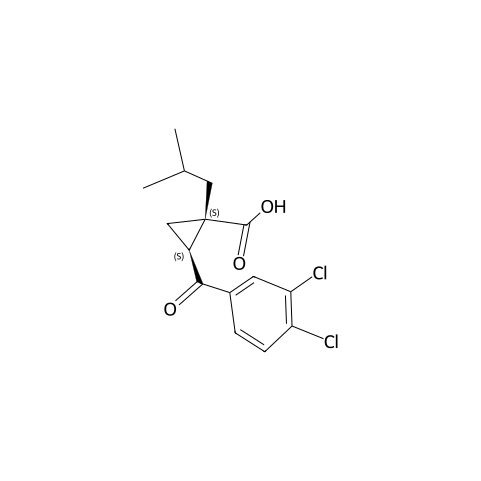 CC(C)C[C@]1(C(=O)O)C[C@@H]1C(=O)c1ccc(Cl)c(Cl)c1